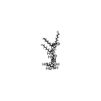 CCCCCCCC(=O)N[C@H](CSC[C@@H](COC(=O)CCCCCCC)OC(=O)CCCCCCC)C(=O)Nc1cn([C@@H]2OC(CO)C(O)C(O)C2O)nn1